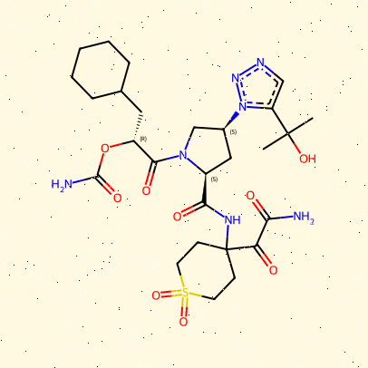 CC(C)(O)c1cnnn1[C@H]1C[C@@H](C(=O)NC2(C(=O)C(N)=O)CCS(=O)(=O)CC2)N(C(=O)[C@@H](CC2CCCCC2)OC(N)=O)C1